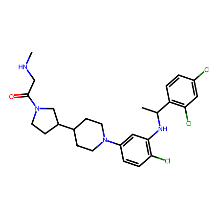 CNCC(=O)N1CCC(C2CCN(c3ccc(Cl)c(NC(C)c4ccc(Cl)cc4Cl)c3)CC2)C1